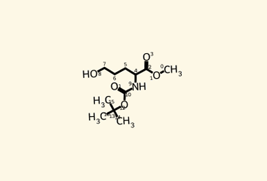 COC(=O)C(CCCO)NC(=O)OC(C)(C)C